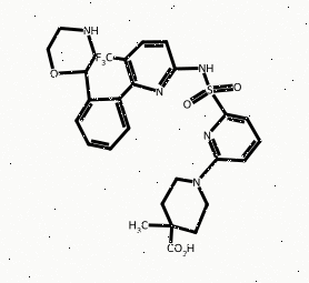 CC1(C(=O)O)CCN(c2cccc(S(=O)(=O)Nc3ccc(C(F)(F)F)c(-c4ccccc4C4CNCCO4)n3)n2)CC1